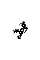 COc1cc2nc(C)nc(N3CCc4c(cc(Cn5ccnc5)cc4-c4cc(C(F)(F)F)nn4C)C3=O)c2cc1OC